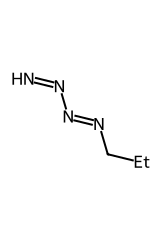 CCCN=NN=N